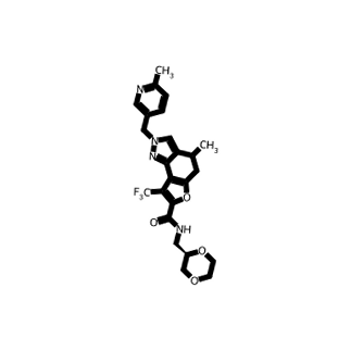 Cc1ccc(Cn2cc3c(n2)-c2c(oc(C(=O)NC[C@@H]4COCCO4)c2C(F)(F)F)CC3C)cn1